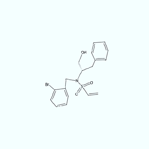 C=CS(=O)(=O)N(Cc1ccccc1Br)[C@H](CO)Cc1ccccc1